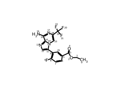 CCOC(=O)c1ccc(F)c(-c2cnc3c(N)nc(C(F)(F)F)cn23)c1